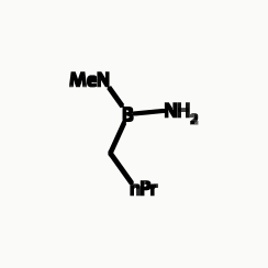 CCCCB(N)NC